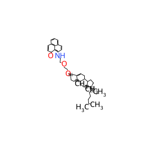 CC(C)CCC[C@H](C)[C@@H]1CCC2C3CC=C4C[C@H](OCCOCCNc5ccc6cccc7c6c5C(=O)C=C7)CC[C@@]4(C)C3CC[C@]21C